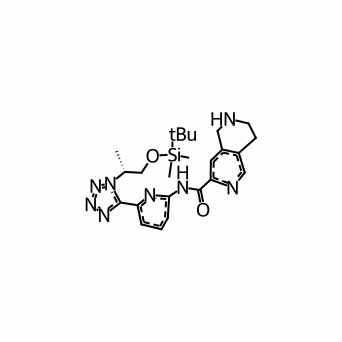 C[C@H](CO[Si](C)(C)C(C)(C)C)n1nnnc1-c1cccc(NC(=O)c2cc3c(cn2)CCNC3)n1